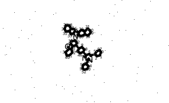 c1ccc(-c2cc(-c3ccc(-c4cc(-n5c6cc7ccccc7cc6c6cc7ccccc7cc65)cc5oc6ccccc6c45)cc3)nc(-c3ccccc3)n2)cc1